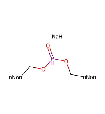 CCCCCCCCCCO[PH](=O)OCCCCCCCCCC.[NaH]